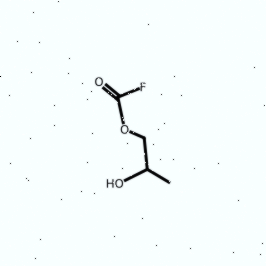 CC(O)COC(=O)F